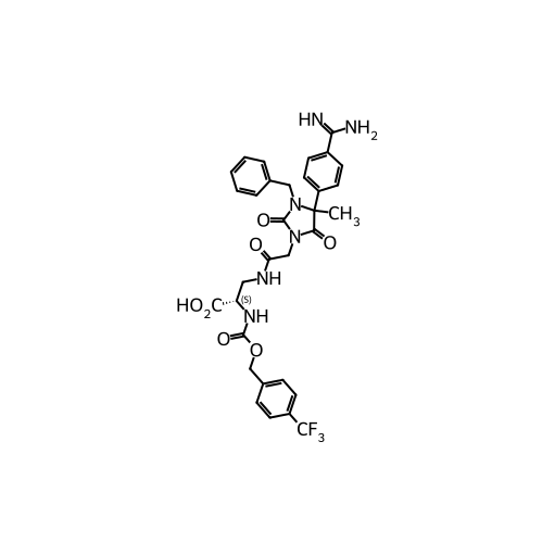 CC1(c2ccc(C(=N)N)cc2)C(=O)N(CC(=O)NC[C@H](NC(=O)OCc2ccc(C(F)(F)F)cc2)C(=O)O)C(=O)N1Cc1ccccc1